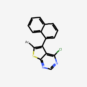 CC(=O)c1sc2ncnc(Cl)c2c1-c1cccc2ccccc12